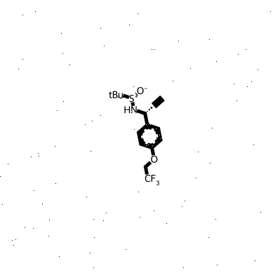 C#C[C@@H](N[S+]([O-])C(C)(C)C)c1ccc(OCC(F)(F)F)cc1